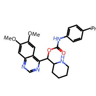 COc1cc2ncnc(C(OC(=O)Nc3ccc(C(C)C)cc3)C3CCCCN3)c2cc1OC